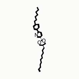 C=CCCCCCCCCC[C@H]1CO[C@H](c2ccc(-c3ccc(CCCCCCC)cc3)nc2)OC1